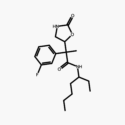 CCCCC(CC)NC(=O)C(C)(c1cccc(F)c1)C1CNC(=O)O1